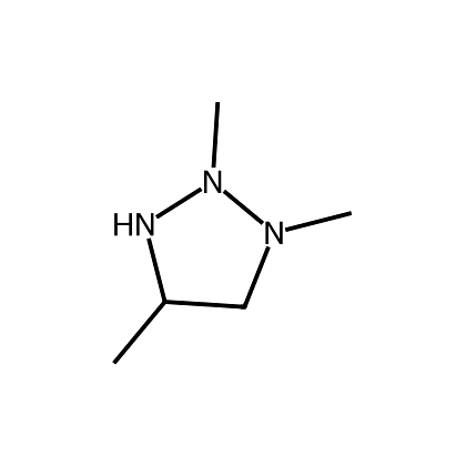 CC1CN(C)N(C)N1